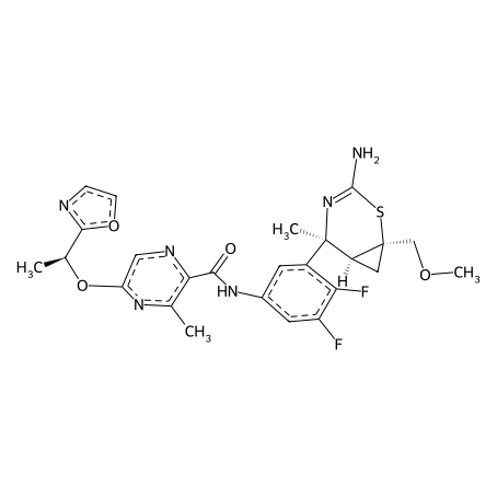 COC[C@]12C[C@H]1[C@@](C)(c1cc(NC(=O)c3ncc(O[C@@H](C)c4ncco4)nc3C)cc(F)c1F)N=C(N)S2